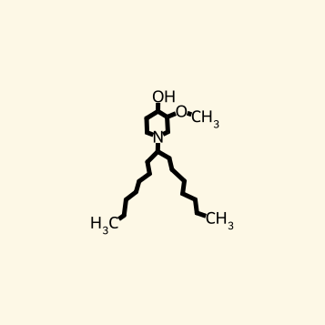 CCCCCCCC(CCCCCCC)N1CCC(O)C(OC)C1